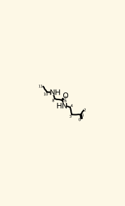 C=C(C)CCNC(=O)CNCC